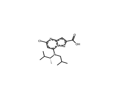 CC(C)CN(c1cc(Cl)nc2cc(C(=O)O)nn12)[C@H](C)C(C)C